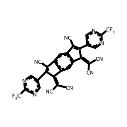 N#CC(C#N)=C1C(c2cnc(C(F)(F)F)nc2)=C(C#N)c2cc3c(cc21)C(=C(C#N)C#N)C(c1cnc(C(F)(F)F)nc1)=C3C#N